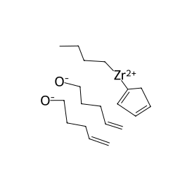 C=CCCC[O-].C=CCCC[O-].CCC[CH2][Zr+2][C]1=CC=CC1